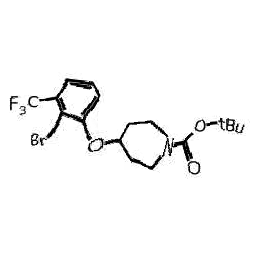 CC(C)(C)OC(=O)N1CCC(Oc2cccc(C(F)(F)F)c2Br)CC1